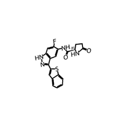 O=C1CC[C@H](C(=O)Nc2cc3c(-c4cc5ccccc5s4)n[nH]c3cc2F)N1